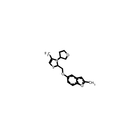 Cc1cc2cc(OCC3SC=C(C(F)(F)F)N3C3CCOC3)ccc2o1